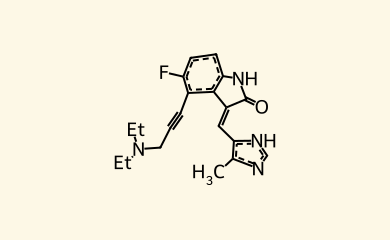 CCN(CC)CC#Cc1c(F)ccc2c1/C(=C/c1[nH]cnc1C)C(=O)N2